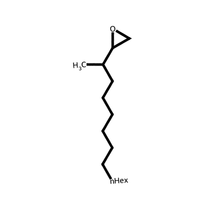 CCCCCCCCCCCCC(C)C1CO1